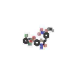 COc1ccc(/C=C2\Sc3cc(S(=O)(=O)Cc4c(Cl)cccc4Cl)ccc3NC2=O)cc1[N+](=O)[O-]